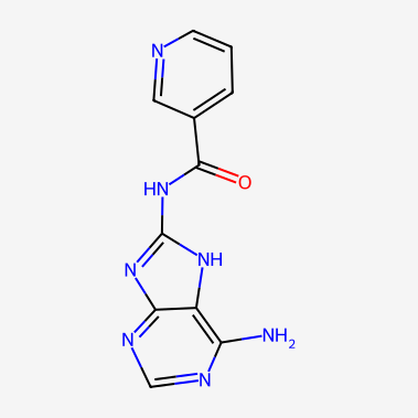 Nc1ncnc2nc(NC(=O)c3cccnc3)[nH]c12